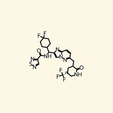 O=C(NC(c1cn2nc(CC3C[C@@H](C(F)(F)F)CNC3=O)ccc2n1)C1CCC(F)(F)CC1)c1cnsn1